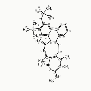 C=C1OC(NC)=C(C)N(C)C2=C1/C(C)=N\C(=C)C1C(CC2)c2ccccc2-c2cc(CC(C)(C)C)c([Si](C)(C)C)c[n+]21